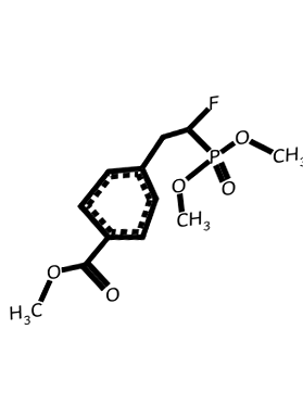 COC(=O)c1ccc(CC(F)P(=O)(OC)OC)cc1